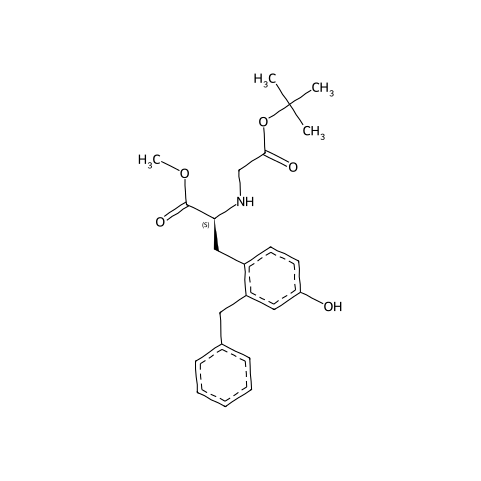 COC(=O)[C@H](Cc1ccc(O)cc1Cc1ccccc1)NCC(=O)OC(C)(C)C